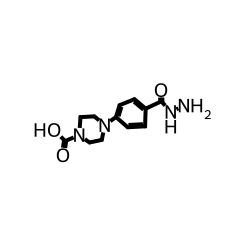 NNC(=O)c1ccc(N2CCN(C(=O)O)CC2)cc1